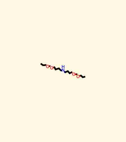 CCCOCOCCCCNCCCCOCOCCC